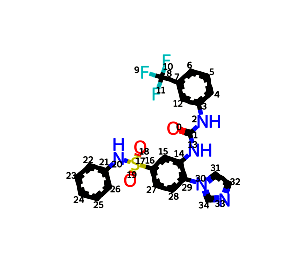 O=C(Nc1cccc(C(F)(F)F)c1)Nc1cc(S(=O)(=O)Nc2ccccc2)ccc1-n1ccnc1